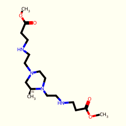 COC(=O)CCNCCN1CCN(CCNCCC(=O)OC)[C@@H](C)C1